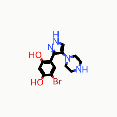 Oc1cc(O)c(-c2n[nH]cc2N2CCNCC2)cc1Br